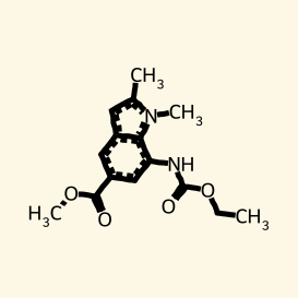 CCOC(=O)Nc1cc(C(=O)OC)cc2cc(C)n(C)c12